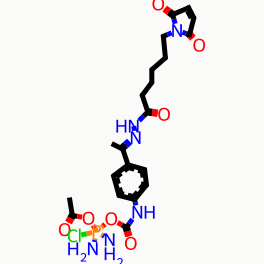 CC(=O)OP(N)(N)(Cl)OC(=O)Nc1ccc(/C(C)=N/NC(=O)CCCCCN2C(=O)C=CC2=O)cc1